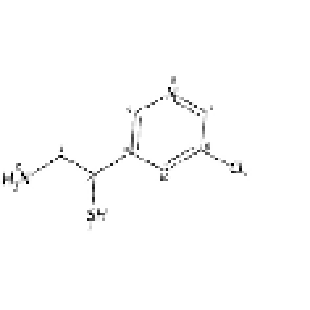 NCC(S)c1cncc(Cl)c1